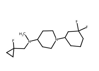 CN(CC1(F)CC1)C1CCN(C2CCCC(F)(F)C2)CC1